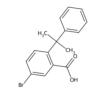 CC(C)(c1ccccc1)c1ccc(Br)cc1C(=O)O